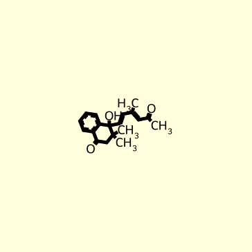 CC(=O)C=C(C)/C=C/C1(O)c2ccccc2C(=O)CC1(C)C